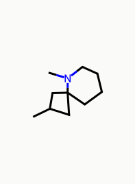 CC1CC2(CCCCN2C)C1